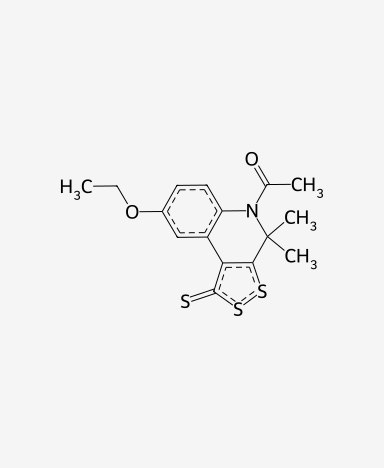 CCOc1ccc2c(c1)-c1c(ssc1=S)C(C)(C)N2C(C)=O